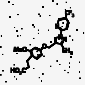 COc1cc(OCc2cn(-c3ccc(C(F)(F)F)cn3)nc2C)ccc1CCC(=O)O